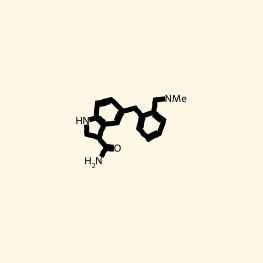 CNCc1ccccc1Cc1ccc2c(c1)C(C(N)=O)CN2